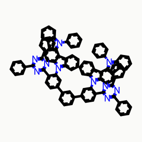 c1ccc(-c2nc(-c3ccccc3)nc(-c3ccc(-c4cccc(-c5ccc(-c6nc(-c7ccccc7)nc(-c7ccccc7)n6)c(-n6c7ccccc7c7c6ccc6c8ccccc8n(-c8ccccc8)c67)c5)c4)cc3-n3c4ccccc4c4c3ccc3c5ccccc5n(-c5ccccc5)c34)n2)cc1